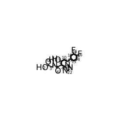 O=C(O)CNC(=O)c1c(O)cc(-c2ccc(F)c(F)c2)n2ncnc12